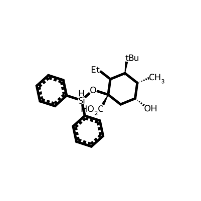 CCC1[C@@H](C(C)(C)C)[C@H](C)[C@H](O)C[C@@]1(O[SiH](c1ccccc1)c1ccccc1)C(=O)O